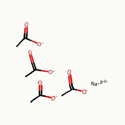 CC(=O)[O-].CC(=O)[O-].CC(=O)[O-].CC(=O)[O-].[Ir+3].[Na+]